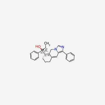 CC[C@@](O)(c1ccccc1)[C@H]1CCCC2=Cc3c(-c4ccccc4)ncn3C[C@@]21C